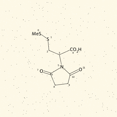 CSSCC(C(=O)O)N1C(=O)CCC1=O